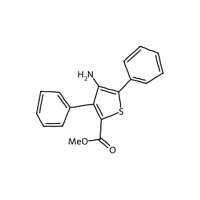 COC(=O)c1sc(-c2ccccc2)c(N)c1-c1ccccc1